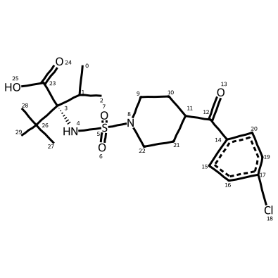 CC(C)[C@](NS(=O)(=O)N1CCC(C(=O)c2ccc(Cl)cc2)CC1)(C(=O)O)C(C)(C)C